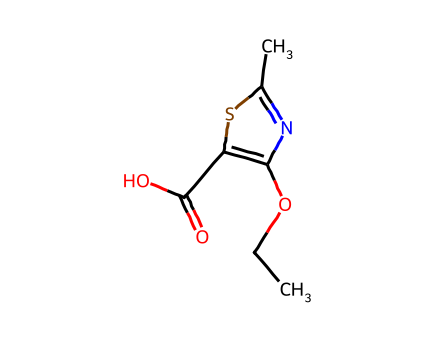 CCOc1nc(C)sc1C(=O)O